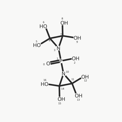 O=P(O)(N1C(O)(O)C1(O)O)N1C(O)(O)C1(O)O